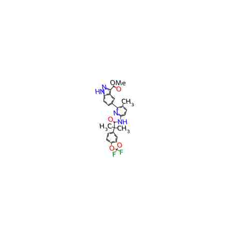 COC(=O)c1n[nH]c2ccc(-c3nc(NC(=O)C(C)(C)c4ccc5c(c4)OC(F)(F)O5)ccc3C)cc12